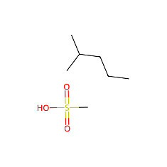 CCCC(C)C.CS(=O)(=O)O